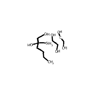 CCCCC(O)([SiH3])CO.OCCO.OCCO